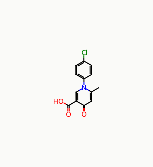 Cc1cc(=O)c(C(=O)O)cn1-c1ccc(Cl)cc1